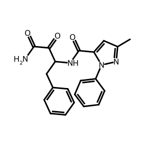 Cc1cc(C(=O)NC(Cc2ccccc2)C(=O)C(N)=O)n(-c2ccccc2)n1